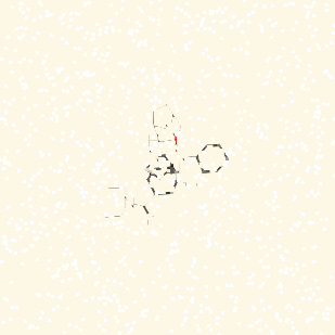 CCN(CC)C(=O)c1ccc2c(c1)Oc1ccccc1N2C1CC2CCC(C1)N2Cc1ncc[nH]1